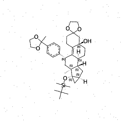 CC1(c2ccc([C@H]3C[C@@]4(C)[C@@H](C[C@H]5C[C@]54O[Si](C)(C)C(C)(C)C)[C@@H]4CC[C@@]5(O)CC6(CCC5=C43)OCCO6)cc2)OCCO1